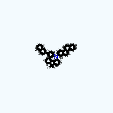 CC1(C)c2ccccc2-c2c(N(c3ccc(-c4ccc5ccccc5c4)cc3)c3ccc4c(ccc5c6ccccc6ccc45)c3)cccc21